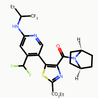 CCOC(=O)c1nc(C(=O)N2[C@H]3CC[C@@H]2CC3)c(-c2cnc(NC(CC)C(F)(F)F)cc2C(F)F)s1